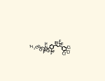 COC(=O)CC(NC(=O)c1ccc(C(F)=CC(c2cc(Cl)c(Cl)c(Cl)c2)C(F)(F)F)cc1C(F)(F)F)C(F)(F)F